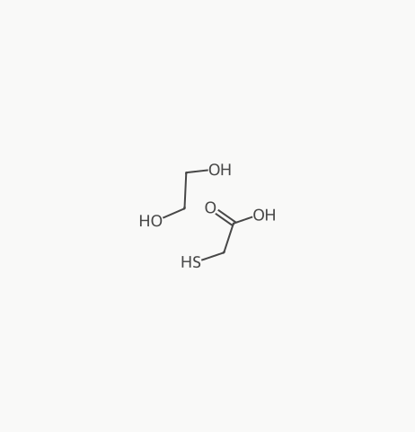 O=C(O)CS.OCCO